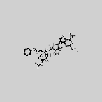 CC(C)OC(=O)[C@@H](C)NP(=O)(CSOc1ccccc1)OC[C@@]1(F)O[C@@H](n2cnc3c(N(C)C)nc(N)nc32)[C@](C)(F)[C@@H]1O